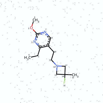 CCc1nc(OC)ncc1CCN1CC(C)(F)C1